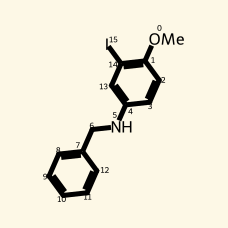 COc1ccc(NCc2ccccc2)cc1I